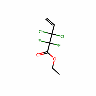 C=CC(Cl)(Cl)C(F)(F)C(=O)OCC